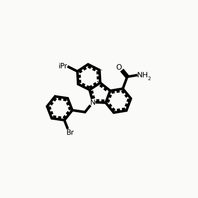 CC(C)c1c[c]c2c3c(C(N)=O)cccc3n(Cc3ccccc3Br)c2c1